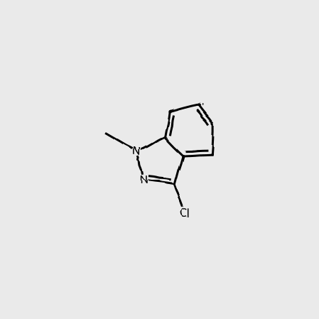 Cn1nc(Cl)c2cc[c]cc21